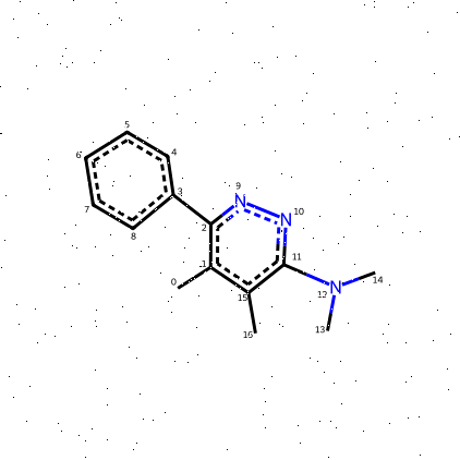 Cc1c(-c2ccccc2)nnc(N(C)C)c1C